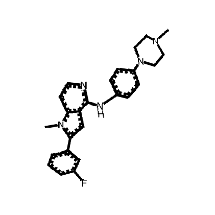 CN1CCN(c2ccc(Nc3nccc4c3cc(-c3cccc(F)c3)n4C)cc2)CC1